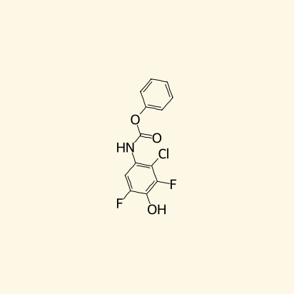 O=C(Nc1cc(F)c(O)c(F)c1Cl)Oc1ccccc1